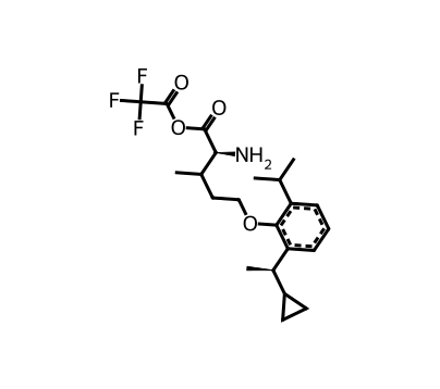 CC(C)c1cccc([C@H](C)C2CC2)c1OCCC(C)[C@H](N)C(=O)OC(=O)C(F)(F)F